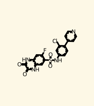 O=c1[nH]c2cc(F)c(S(=O)(=O)Nc3ccc(-c4ccncc4)c(Cl)c3)cc2[nH]c1=O